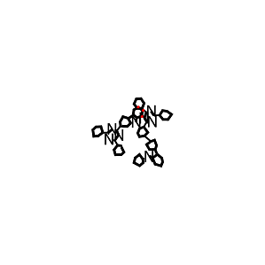 c1ccc(-c2nc(-c3ccccc3)nc(-c3ccc4c5ccccc5n(-c5ccc(-c6ccc7c8ccccc8n(-c8ccccc8)c7c6)cc5-c5nc(-c6ccccc6)nc(-c6ccccc6)n5)c4c3)n2)cc1